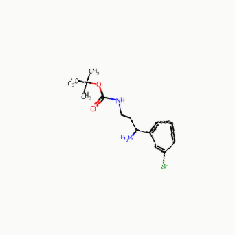 CC(C)(C)OC(=O)NCCC(N)c1cccc(Br)c1